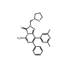 Cc1cc(-c2c(-c3ccccc3)nc(N)n3c(=O)n(C[C@H]4CCCO4)nc23)cc(C)n1